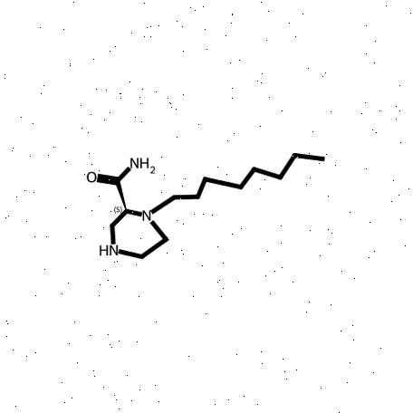 CCCCCCCCN1CCNC[C@H]1C(N)=O